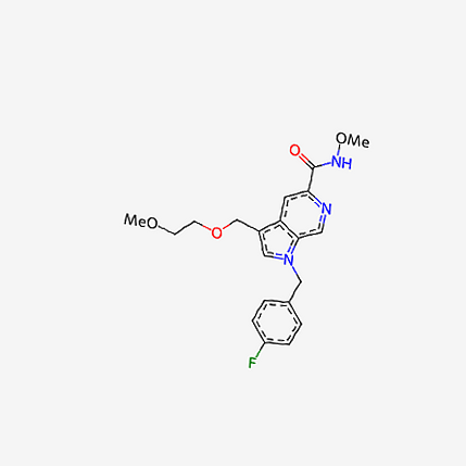 COCCOCc1cn(Cc2ccc(F)cc2)c2cnc(C(=O)NOC)cc12